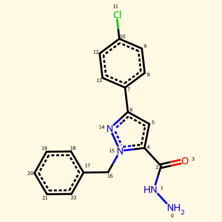 NNC(=O)c1cc(-c2ccc(Cl)cc2)nn1Cc1ccccc1